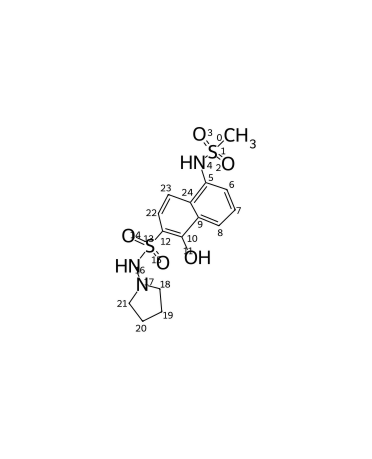 CS(=O)(=O)Nc1cccc2c(O)c(S(=O)(=O)NN3CCCC3)ccc12